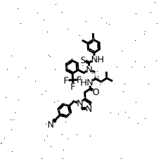 Cc1ccc(NC(=S)N(Cc2ccccc2C(F)(F)F)C[C@H](CC(C)C)NC(=O)Cc2cncn2Cc2ccc(C#N)cc2)cc1C